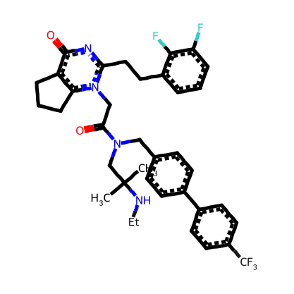 CCNC(C)(C)CN(Cc1ccc(-c2ccc(C(F)(F)F)cc2)cc1)C(=O)Cn1c(CCc2cccc(F)c2F)nc(=O)c2c1CCC2